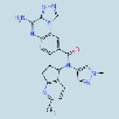 Cn1cc(N(C(=O)c2ccc3nc(N)c4nncn4c3c2)C2CCc3nc(C(F)(F)F)ccc32)cn1